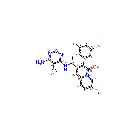 Cc1cc(F)cc(-c2c([C@H](C)Nc3ncnc(N)c3C#N)cc3ccc(F)cn3c2=O)c1